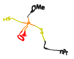 CCCCSP(=O)(S)OC